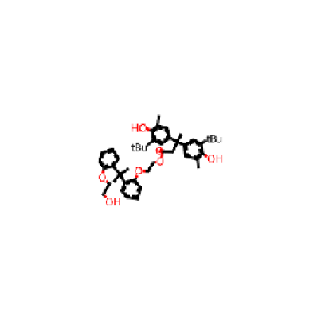 Cc1cc(C(C)(CC(=O)OCCOc2ccccc2C(C)(C)c2ccccc2OCCO)c2cc(C)c(O)c(C(C)(C)C)c2)cc(C(C)(C)C)c1O